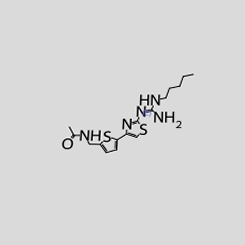 CCCCCN/C(N)=N/c1nc(-c2ccc(CNC(C)=O)s2)cs1